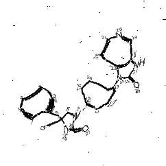 CC1(c2ccccc2)CN([C@H]2CC[C@H](n3c(=O)[nH]c4cnccc43)CC2)C(=O)O1